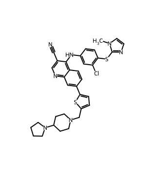 Cn1ccnc1Sc1ccc(Nc2c(C#N)cnc3cc(-c4ccc(CN5CCC(N6CCCC6)CC5)s4)ccc23)cc1Cl